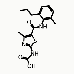 CCCc1cccc(C)c1NC(=O)c1sc(NC(=O)O)nc1C